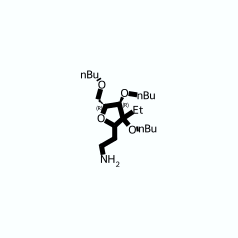 CCCCOC[C@H]1OC(CCN)C(CC)(OCCCC)[C@@H]1OCCCC